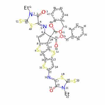 CCN1C(=O)/C(=N/C2=Cc3sc4c(sc5cc(/N=C6\SC(=S)N(CC)C6=O)sc54)c3C2(C(=O)OCc2ccccc2)C(=O)OCc2ccccc2)SC1=S